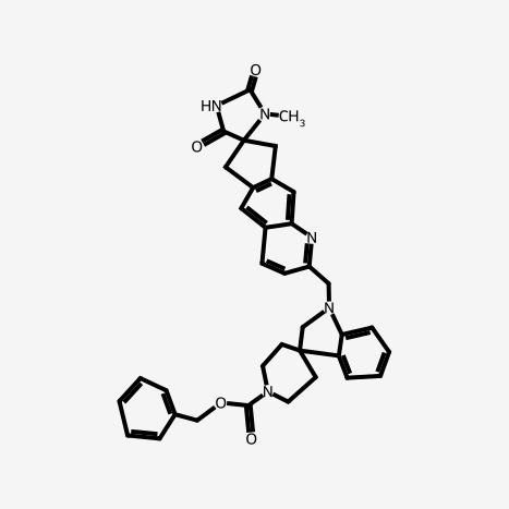 CN1C(=O)NC(=O)C12Cc1cc3ccc(CN4CC5(CCN(C(=O)OCc6ccccc6)CC5)c5ccccc54)nc3cc1C2